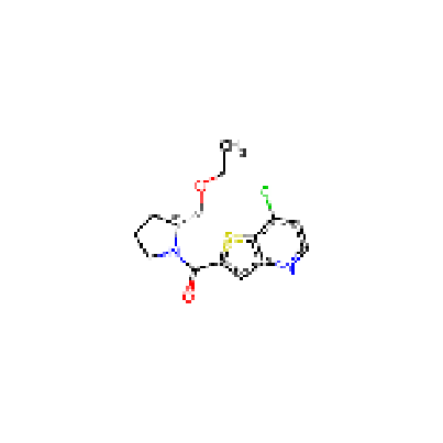 CCOC[C@H]1CCCN1C(=O)c1cc2nccc(Cl)c2s1